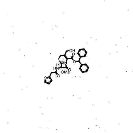 CO[C@@]1(NC(=O)Cc2cccs2)C(=O)N2C(C(=O)OC(c3ccccc3)c3ccccc3)=C(CO)CS[C@@H]21